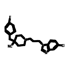 N#CC1(Cc2ccc(F)cc2)CCN(CCCn2cnc3cc(Cl)ccc32)CC1